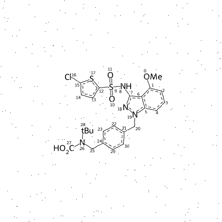 COc1cccc2c1c(NS(=O)(=O)c1ccc(Cl)s1)nn2Cc1ccc(CN(C(=O)O)C(C)(C)C)cc1